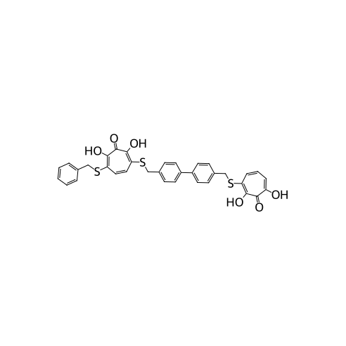 O=c1c(O)cccc(SCc2ccc(-c3ccc(CSc4ccc(SCc5ccccc5)c(O)c(=O)c4O)cc3)cc2)c1O